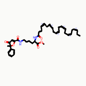 CC/C=C\C/C=C\C/C=C\C/C=C\C/C=C\C/C=C\CCC(=O)NC(CCCCNC(=O)C1=CC(=O)C(C)(c2ccccc2)O1)C(=O)OC